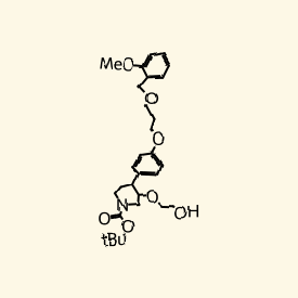 COc1ccccc1COCCCOc1ccc(C2CCN(C(=O)OC(C)(C)C)CC2OCCO)cc1